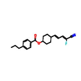 CCCc1ccc(C(=O)OC2CCC(C=CC=C(F)C#N)CC2)cc1